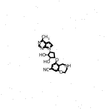 Cc1ncnc2c1ccn2[C@@H]1C[C@H](Oc2cc(C#N)cc3c2CNCCO3)[C@@H](O)[C@H]1O